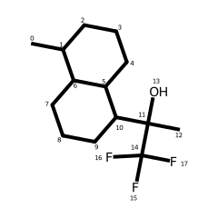 CC1CCCC2C1CCCC2C(C)(O)C(F)(F)F